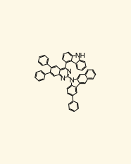 c1ccc(-c2ccc3c(c2)c2cc4ccccc4cc2n3-c2nc(-c3cccc4[nH]c5ccccc5c34)c3cc(-c4ccccc4)c(-c4ccccc4)cc3n2)cc1